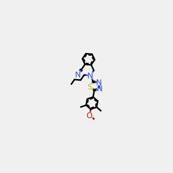 CCCCN(Cc1ccccc1C#N)c1nnc(-c2cc(C)c(OC)c(C)c2)s1